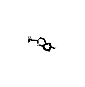 Fc1ccc2c(c1)CC[C@H]([C@H]1CO1)O2